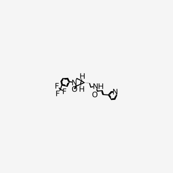 O=C(/C=C/c1cccnc1)NCC[C@H]1[C@@H]2CN(c3cccc(C(F)(F)F)c3)C(=O)[C@H]12